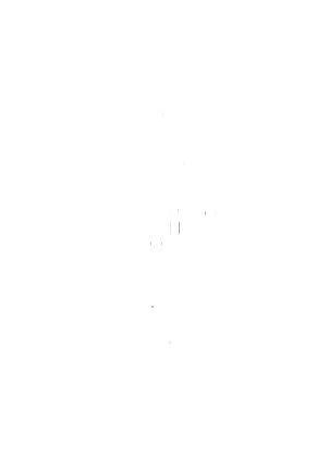 Cc1cccc(C)c1O[PH](=O)c1c(C)cccc1C